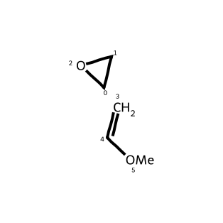 C1CO1.C=COC